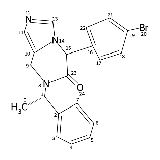 C[C@@H](c1ccccc1)N1Cc2cncn2C(c2ccc(Br)cc2)C1=O